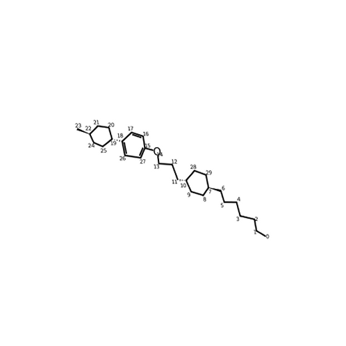 CCCCCCC[C@H]1CC[C@H](CCCOc2ccc([C@H]3CC[C@H](C)CC3)cc2)CC1